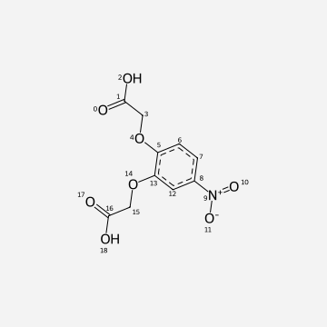 O=C(O)COc1ccc([N+](=O)[O-])cc1OCC(=O)O